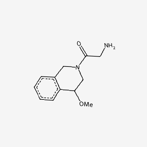 COC1CN(C(=O)CN)Cc2ccccc21